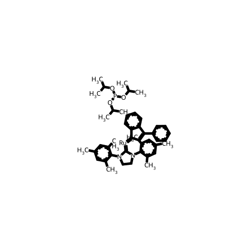 CC(C)OP(OC(C)C)OC(C)C.Cc1cc(C)c(N2CCN(c3c(C)cc(C)cc3C)[C]2=[Ru]=[C]2C=C(c3ccccc3)c3ccccc32)c(C)c1